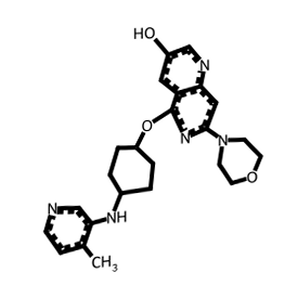 Cc1ccncc1NC1CCC(Oc2nc(N3CCOCC3)cc3ncc(O)cc23)CC1